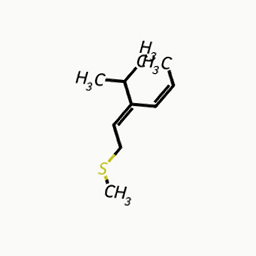 C/C=C\C(=C/CSC)C(C)C